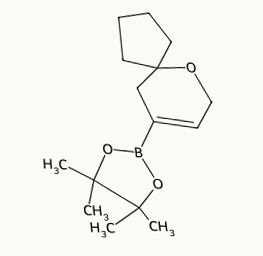 CC1(C)OB(C2=CCOC3(CCCC3)C2)OC1(C)C